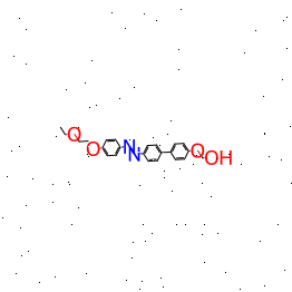 CCOCCOc1ccc(N=Nc2ccc(-c3ccc(OCO)cc3)cc2)cc1